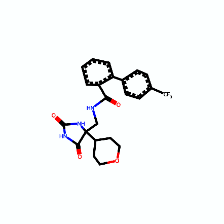 O=C1NC(=O)C(CNC(=O)c2ccccc2-c2ccc(C(F)(F)F)cc2)(C2CCOCC2)N1